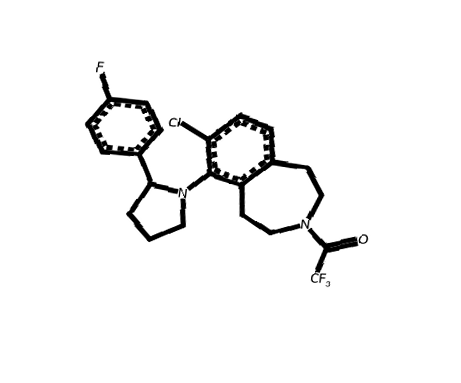 O=C(N1CCc2ccc(Cl)c(N3CCCC3c3ccc(F)cc3)c2CC1)C(F)(F)F